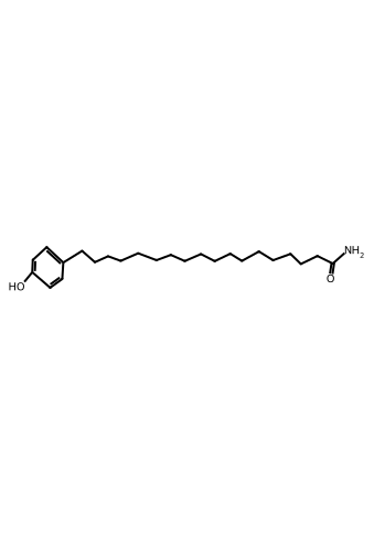 NC(=O)CCCCCCCCCCCCCCCCCc1ccc(O)cc1